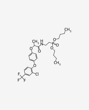 CCCCOP(=O)(CCNC(=O)C(C)Oc1ccc(Oc2ccc(C(F)(F)F)cc2Cl)cc1)OCCCC